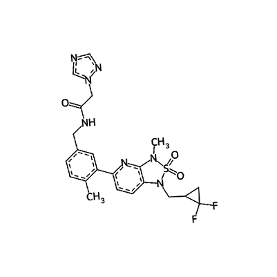 Cc1ccc(CNC(=O)Cn2cncn2)cc1-c1ccc2c(n1)N(C)S(=O)(=O)N2CC1CC1(F)F